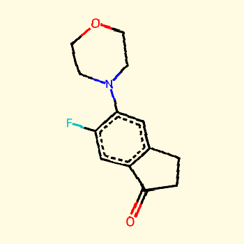 O=C1CCc2cc(N3CCOCC3)c(F)cc21